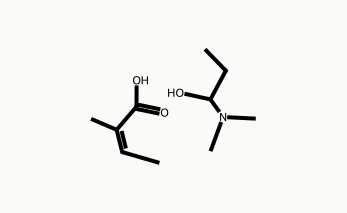 CC=C(C)C(=O)O.CCC(O)N(C)C